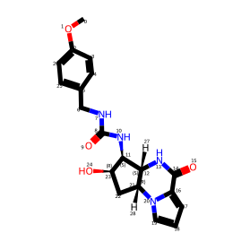 COc1ccc(CNC(=O)N[C@H]2[C@@H]3NC(=O)c4cccn4[C@@H]3C[C@H]2O)cc1